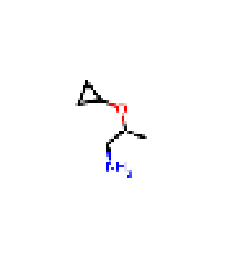 C[C@@H](CN)OC1CC1